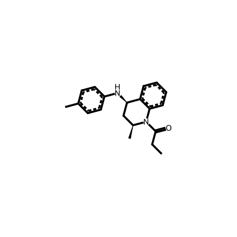 CCC(=O)N1c2ccccc2[C@H](Nc2ccc(C)cc2)C[C@@H]1C